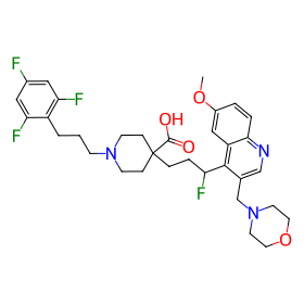 COc1ccc2ncc(CN3CCOCC3)c(C(F)CCC3(C(=O)O)CCN(CCCc4c(F)cc(F)cc4F)CC3)c2c1